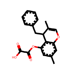 CC1=COc2cc(C)cc(OC(=O)C(=O)O)c2C1Cc1ccccc1